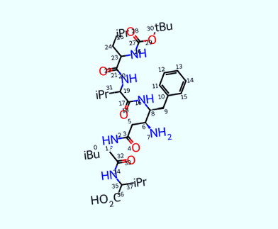 CC[C@H](C)[C@H](NC(=O)C[C@H](N)[C@H](Cc1ccccc1)NC(=O)C(NC(=O)C(CC(C)C)NC(=O)OC(C)(C)C)C(C)C)C(=O)NC(C(=O)O)C(C)C